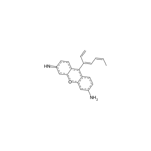 C=C/C(=C\C=C/C)c1c2ccc(=N)cc-2oc2cc(N)ccc12